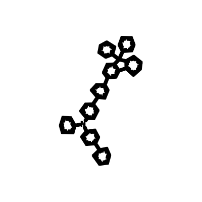 c1ccc(-c2ccc(N(c3ccccc3)c3ccc(-c4ccc(-c5ccc6c(c5)-c5ccccc5C6(c5ccccc5)c5ccccc5)cc4)cc3)cc2)cc1